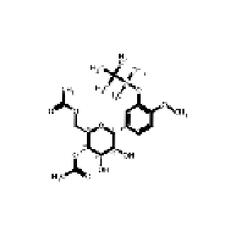 COc1ccc([C@H]2O[C@H](COC(C)=O)[C@@H](OC(C)=O)[C@H](O)[C@@H]2O)cc1O[Si](C)(C)C(C)(C)C